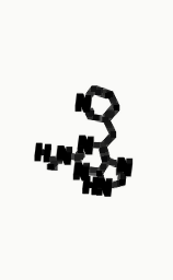 Nc1nc(Cc2cccnc2)c2nc[nH]c2n1